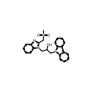 CS(=O)(=O)Cc1nc2ccccc2n1CC(O)Cn1c2ccccc2c2ccccc21